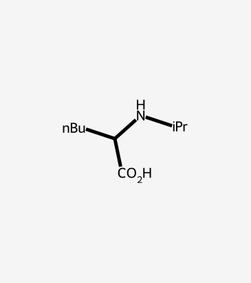 CCCCC(NC(C)C)C(=O)O